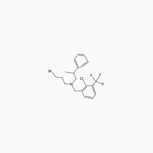 CC(CN(CCCBr)Cc1cccc(C(F)(F)F)c1Cl)c1ccccc1